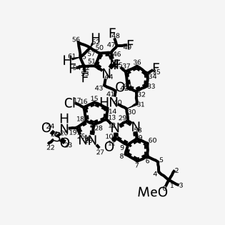 COC(C)(C)CCc1ccc2c(=O)n(-c3ccc(Cl)c4c(NS(C)(=O)=O)nn(C)c34)c([C@H](Cc3cc(F)cc(F)c3)NC(=O)Cn3nc(C(F)F)c4c3C(F)(F)[C@@H]3C[C@H]43)nc2c1